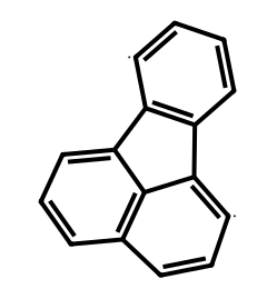 [c]1cccc2c1-c1cccc3cc[c]c-2c13